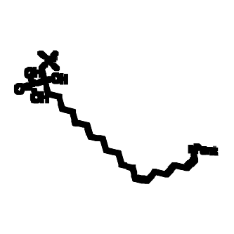 CCCCC/C=C\CCC/C=C\CCCCCCCCCCCCC(O)(C[N+](C)(C)C)P(=O)(O)O